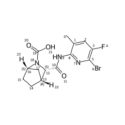 Cc1cc(F)c(Br)nc1NC(=O)[C@@H]1[C@@H]2CC[C@@H](C2)N1C(=O)O